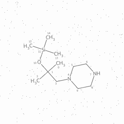 CC(C)(CN1CCNCC1)O[Si](C)(C)C